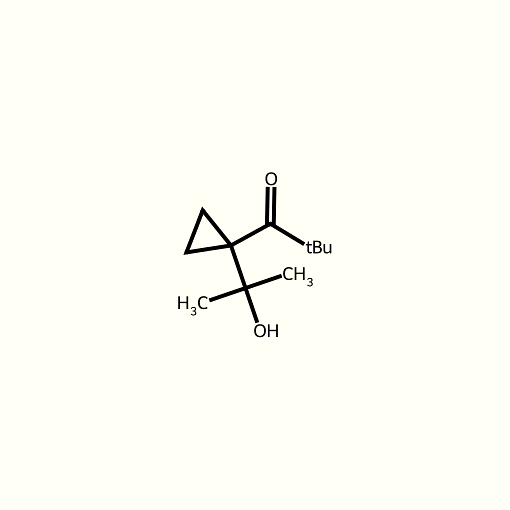 CC(C)(C)C(=O)C1(C(C)(C)O)CC1